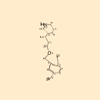 Fc1ccc(Br)cc1COCCCC1CCCNC1